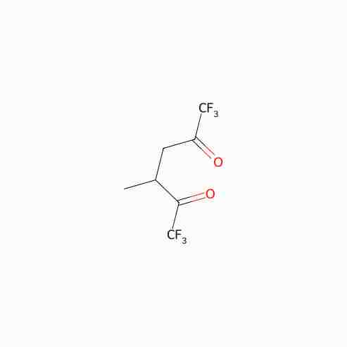 CC(CC(=O)C(F)(F)F)C(=O)C(F)(F)F